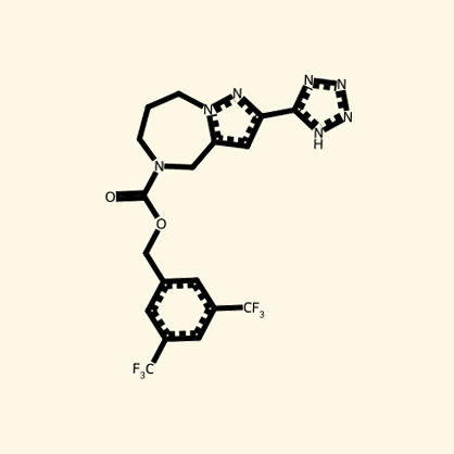 O=C(OCc1cc(C(F)(F)F)cc(C(F)(F)F)c1)N1CCCn2nc(-c3nnn[nH]3)cc2C1